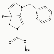 CC(C)(C)OC(=O)N1C=C2N(Cc3ccccc3)C=CC2(F)C1